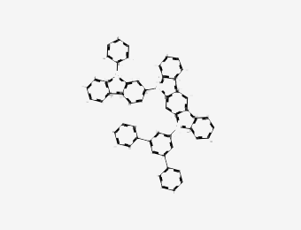 c1ccc(-c2cc(-c3ccccc3)cc(-n3c4ccccc4c4cc5c6ccccc6n(-c6ccc7c8ccccc8n(-c8ccccc8)c7c6)c5cc43)c2)cc1